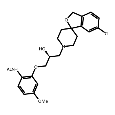 COc1ccc(NC(C)=O)c(OC[C@@H](O)CN2CCC3(CC2)OCc2ccc(Cl)cc23)c1